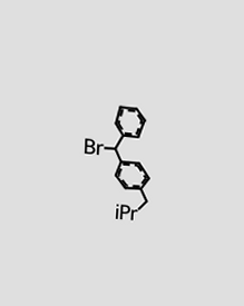 CC(C)Cc1ccc(C(Br)c2ccccc2)cc1